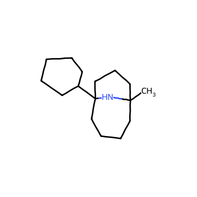 CC12CCCCC(C3CCCCC3)(CCC1)N2